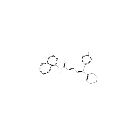 O=C(C=CC=C(C1=CCCCC1)c1ccc(C(F)(F)F)cc1)Nc1cccc2cnccc12